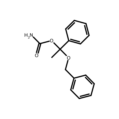 CC(OCc1ccccc1)(OC(N)=O)c1ccccc1